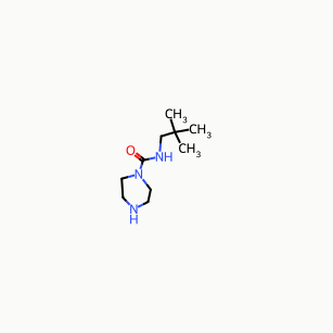 CC(C)(C)CNC(=O)N1CCNCC1